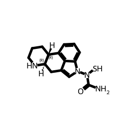 NC(=O)N(S)n1cc2c3c(cccc31)[C@H]1CCCN[C@@H]1C2